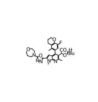 Cc1nc2c(cc(-c3nnc(N4CCCOCC4)o3)n2C)c(-c2cc(F)c3c(c2C)CCCO3)c1[C@H](OC(C)(C)C)C(=O)O